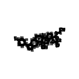 CCC(=O)O[C@]1(C(=O)SCC#N)CC[C@H]2[C@@H]3C=CC4=Cc5c(cnn5-c5ccc(F)nc5)C[C@]4(C)[C@H]3[C@@H](O)C[C@@]21C